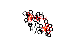 CC(C)(C)C1=CC(C(C)(CC(=O)O)c2ccc(OP(OC3=C(C4=CC=CCC4)CCC=C3C3C=CC=CC3)Oc3c(-c4ccccc4)cccc3-c3ccccc3)c(C(C)(C)C)c2)CC=C1OP(Oc1c(-c2ccccc2)cccc1-c1ccccc1)Oc1c(-c2ccccc2)cccc1-c1ccccc1